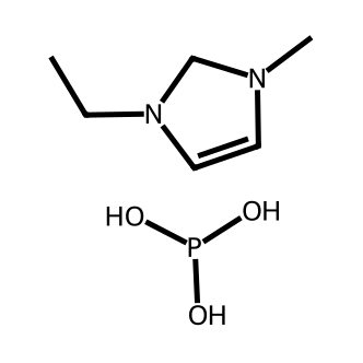 CCN1C=CN(C)C1.OP(O)O